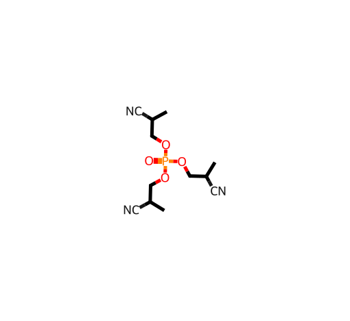 CC(C#N)COP(=O)(OCC(C)C#N)OCC(C)C#N